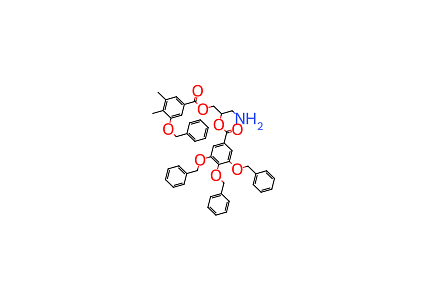 Cc1cc(C(=O)OCC(CN)OC(=O)c2cc(OCc3ccccc3)c(OCc3ccccc3)c(OCc3ccccc3)c2)cc(OCc2ccccc2)c1C